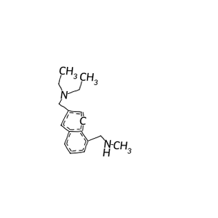 CCN(CC)Cc1ccc2c(CNC)cccc2c1